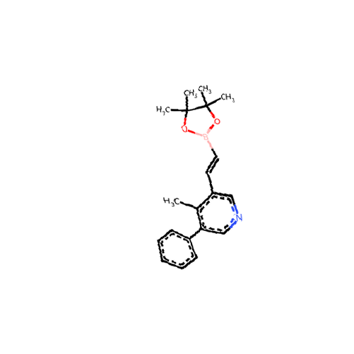 Cc1c(/C=C/B2OC(C)(C)C(C)(C)O2)cncc1-c1ccccc1